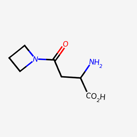 NC(CC(=O)N1CCC1)C(=O)O